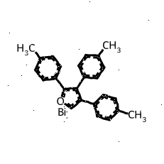 Cc1ccc(-c2coc(-c3ccc(C)cc3)c2-c2ccc(C)cc2)cc1.[Bi]